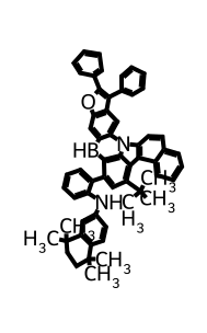 CC(C)(C)c1cc(-c2ccccc2Nc2ccc3c(c2)C(C)(C)CCC3(C)C)c2c3c1c1c4ccccc4ccc1n3-c1cc3c(-c4ccccc4)c(-c4ccccc4)oc3cc1B2